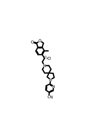 Cc1c([C@H](Cl)CN2CCC3(CC2)CCN(c2ccc(C#N)cn2)C3)ccc2c1COC2=O